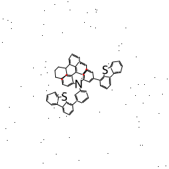 c1cc(-c2cccc3c2sc2ccccc23)cc(N(c2cccc(-c3cccc4c3sc3ccccc34)c2)c2ccccc2-c2cccc3cccc(C4CCCCC4)c23)c1